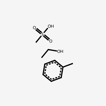 CCO.CS(=O)(=O)O.Cc1ccccc1